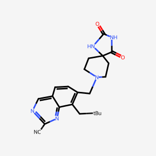 CC(C)(C)Cc1c(CN2CCC3(CC2)NC(=O)NC3=O)ccc2cnc(C#N)nc12